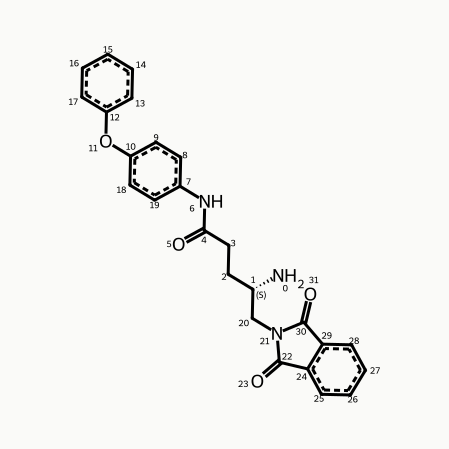 N[C@@H](CCC(=O)Nc1ccc(Oc2ccccc2)cc1)CN1C(=O)c2ccccc2C1=O